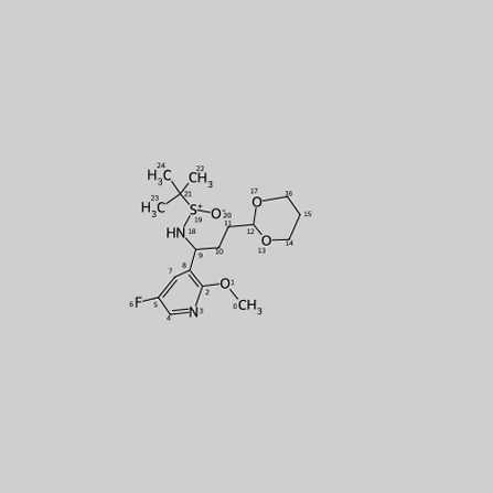 COc1ncc(F)cc1C(CCC1OCCCO1)N[S+]([O-])C(C)(C)C